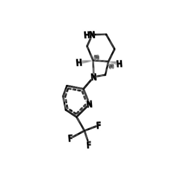 FC(F)(F)c1cccc(N2C[C@@H]3CCNC[C@@H]32)n1